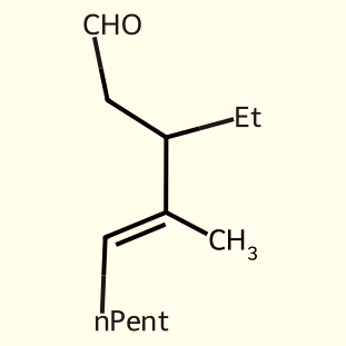 CCCCC/C=C(\C)C(CC)CC=O